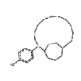 N#Cc1ccc(N2CCCCCCCCCCC3CCCC2CC3)cc1